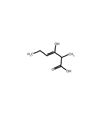 CCC=C(O)C(C)C(=O)O